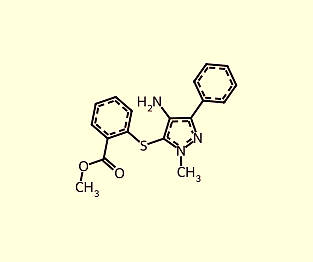 COC(=O)c1ccccc1Sc1c(N)c(-c2ccccc2)nn1C